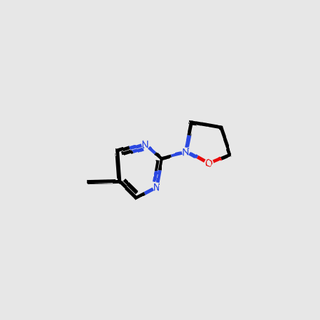 Cc1cnc(N2CCCO2)nc1